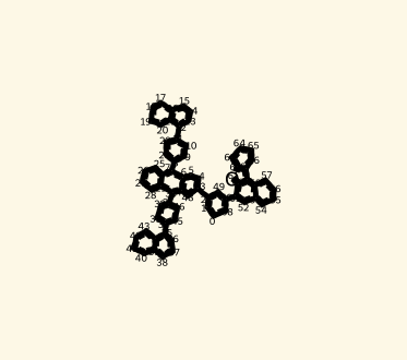 c1cc(-c2ccc3c(-c4ccc(-c5cccc6ccccc56)cc4)c4ccccc4c(-c4ccc(-c5cccc6ccccc56)cc4)c3c2)cc(-c2cc3ccccc3c3c2oc2ccccc23)c1